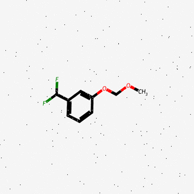 COCOc1cccc(C(F)F)c1